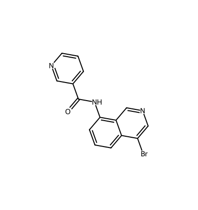 O=C(Nc1cccc2c(Br)cncc12)c1cccnc1